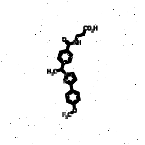 CC(c1ccc(C(=O)NCCC(=O)O)cc1)n1ccc(-c2ccc(OC(F)(F)F)cc2)n1